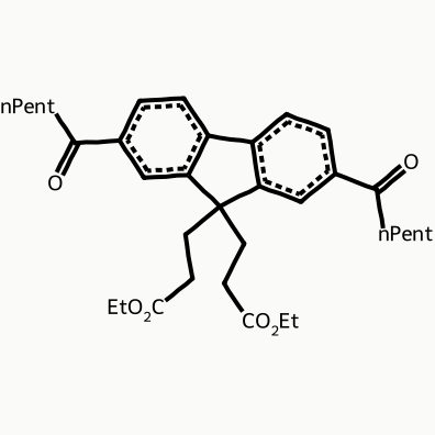 CCCCCC(=O)c1ccc2c(c1)C(CCC(=O)OCC)(CCC(=O)OCC)c1cc(C(=O)CCCCC)ccc1-2